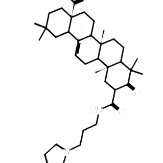 COC(=O)[C@]12CCC(C)(C)CC1C1=CCC3[C@@]4(C)CC(C(=O)NCCCN5CCCC5)C(=O)C(C)(C)C4CC[C@@]3(C)[C@]1(C)CC2